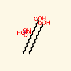 CCCCCCCCCCCCCCCC(=O)O.CCCCCCCCCCCCCCCCCC(=O)O.O=P(O)(O)O